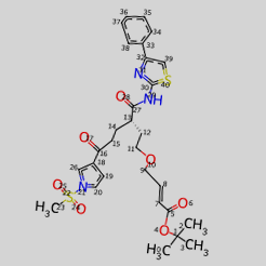 CC(C)(C)OC(=O)/C=C/COCC[C@H](CCC(=O)c1ccn(S(C)(=O)=O)c1)C(=O)Nc1nc(-c2ccccc2)cs1